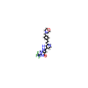 O=c1[nH]c(C(F)(F)F)nc2[nH]c(-c3ccnc(C=Cc4ccc(CN5CCOCC5)cc4)c3)cc12